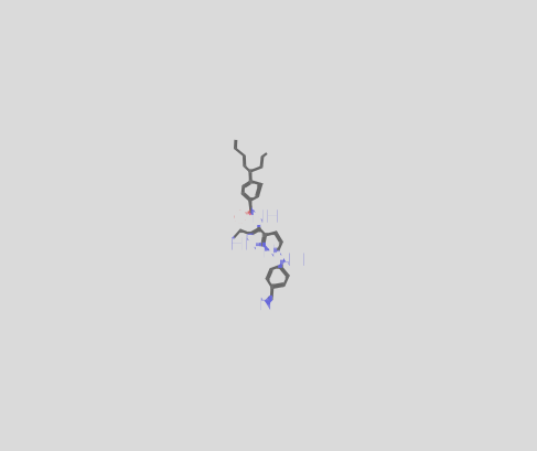 CCCCC(CCC)c1ccc(C(=O)Nc2c(CC)[nH]c3nc(Nc4ccc(C#N)cc4)ccc23)cc1